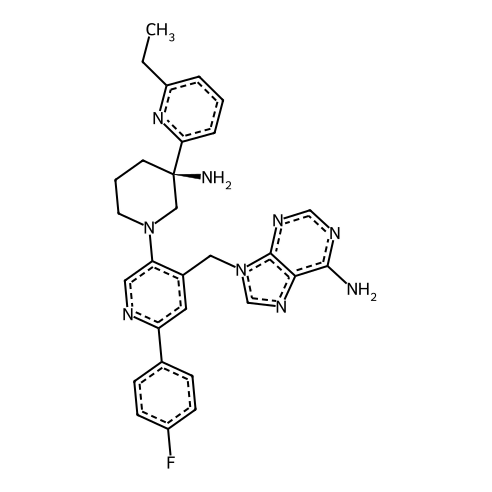 CCc1cccc([C@@]2(N)CCCN(c3cnc(-c4ccc(F)cc4)cc3Cn3cnc4c(N)ncnc43)C2)n1